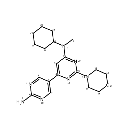 CN(c1cc(-c2cnc(N)nc2)nc(N2CCOCC2)n1)C1CCCCC1